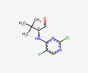 CC(C)(C)[C@@H](C=O)Nc1nc(Cl)ncc1F